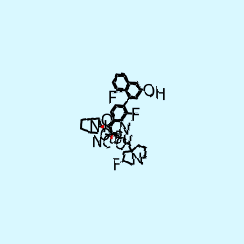 CC(C)(C)OC(=O)N1C2CCC1CN(c1c(C#N)c(OCC34CCCN3C[C@H](F)C4)nc3c(F)c(-c4cc(O)cc5cccc(F)c45)ccc13)C2